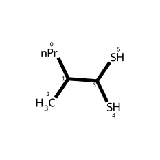 [CH2]CCC(C)C(S)S